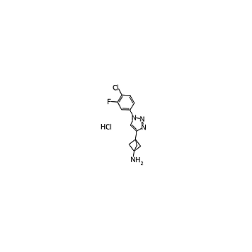 Cl.NC12CC(c3cn(-c4ccc(Cl)c(F)c4)nn3)(C1)C2